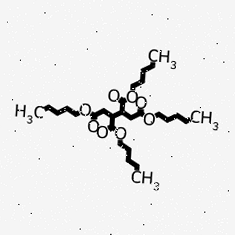 CCCCCOC(=O)CC(C(=O)OCCCCC)C(CC(=O)OCCCCC)C(=O)OCCCCC